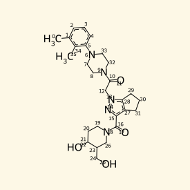 Cc1cccc(N2CCN(C(=O)Cn3nc(C(=O)N4CCC(O)C(CO)C4)c4c3CCC4)CC2)c1C